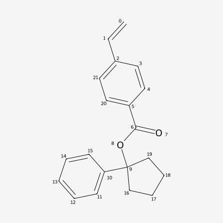 C=Cc1ccc(C(=O)OC2(c3ccccc3)CCCC2)cc1